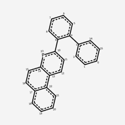 c1ccc(-c2ccccc2-c2ccc3c(ccc4ccccc43)p2)cc1